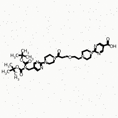 CC(C)(C)OC(=O)N(Cc1cnc(N2CCN(C(=O)CCOCCN3CCN(c4ncc(C(=O)O)cn4)CC3)CC2)nc1)C(=O)OC(C)(C)C